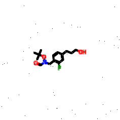 CC(C)(C)ON(C=O)Cc1ccc(CCCO)cc1F